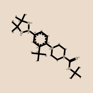 CC(C)(C)OC(=O)N1CCN(c2ccc(B3OC(C)(C)C(C)(C)O3)cc2C(C)(C)C)CC1